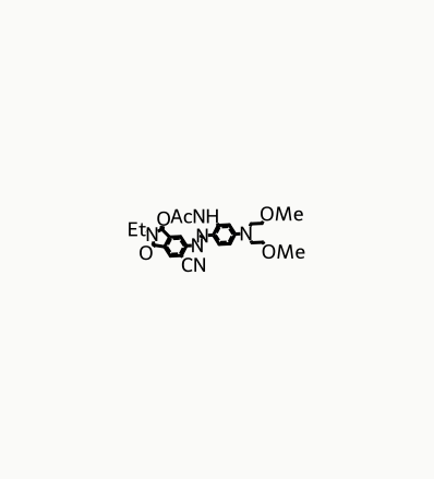 CCN1C(=O)c2cc(C#N)c(N=Nc3ccc(N(CCOC)CCOC)cc3NC(C)=O)cc2C1=O